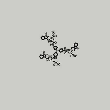 Cc1[nH]c2ccccc2c1CC(=O)N[C@@H](CCC(=O)OC(C)(C)C)C(=O)Nc1ccc(C(c2ccc(NC(=O)[C@H](CCC(=O)OC(C)(C)C)NC(=O)Cc3c(C)[nH]c4ccccc34)cc2)c2ccc(NC(=O)[C@H](CCC(=O)OC(C)(C)C)NC(=O)Cc3c(C)[nH]c4ccccc34)cc2)cc1